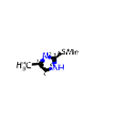 [CH2]Sc1nc(C)c[nH]1